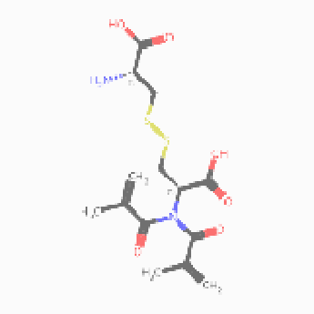 C=C(C)C(=O)N(C(=O)C(=C)C)[C@@H](CSSC[C@H](N)C(=O)O)C(=O)O